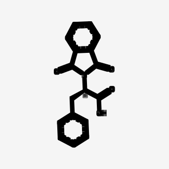 O=C(O)[C@@H](Cc1ccccc1)N1C(=O)c2ccccc2C1=O